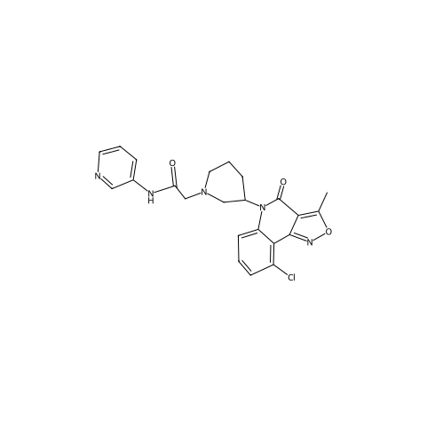 Cc1onc2c1c(=O)n(C1CCCN(CC(=O)Nc3cccnc3)C1)c1cccc(Cl)c21